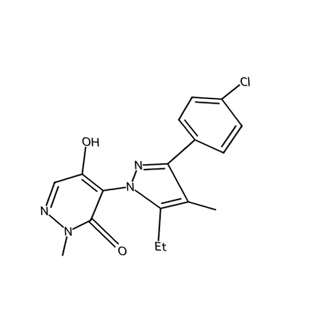 CCc1c(C)c(-c2ccc(Cl)cc2)nn1-c1c(O)cnn(C)c1=O